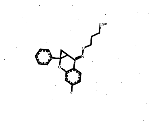 CNCCCON=C1c2ccc(F)cc2OC2(c3ccccc3)CC12